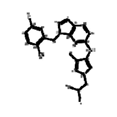 Cc1nn(CC(F)F)cc1Nc1ncc2cnn(Cc3cc(F)ccc3C#N)c2n1